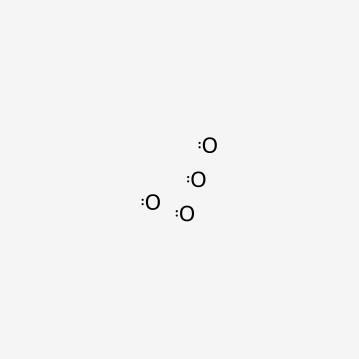 [O].[O].[O].[O]